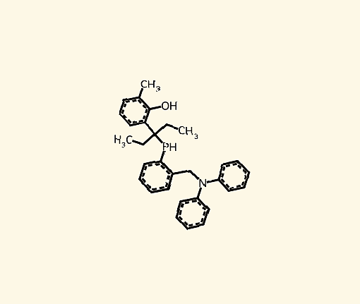 CCC(CC)(Pc1ccccc1CN(c1ccccc1)c1ccccc1)c1cccc(C)c1O